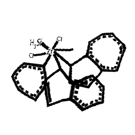 [CH3][Zr]([SiH3])([Cl])([Cl])([c]1ccccc1)([CH]1C=Cc2ccccc21)[CH]1C=Cc2ccccc21